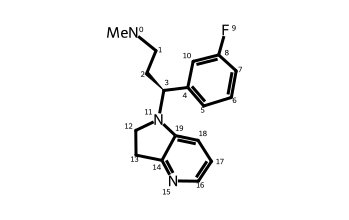 CNCC[C@@H](c1cccc(F)c1)N1CCc2ncccc21